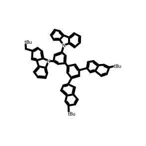 CC(C)(C)Cc1ccc2c(c1)c1ccccc1n2-c1cc(-c2cc(-c3ccc4cc(C(C)(C)C)ccc4c3)cc(-c3ccc4cc(C(C)(C)C)ccc4c3)c2)cc(-n2c3ccccc3c3ccccc32)c1